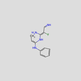 C/C=C(\N/C(N)=C(\F)C=N)Nc1ccccc1